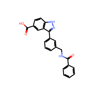 O=C(O)c1ccc2[nH]nc(-c3cccc(CNC(=O)c4ccccc4)c3)c2c1